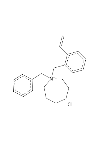 C=Cc1ccccc1C[N+]1(Cc2ccccc2)CCCCCC1.[Cl-]